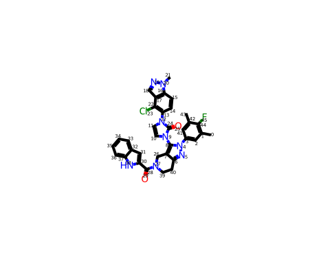 Cc1cc(-n2nc3c(c2-n2ccn(-c4ccc5c(cnn5C)c4Cl)c2=O)CN(C(=O)c2cc4ccccc4[nH]2)CC3)cc(C)c1F